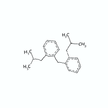 CC(C)Cc1ccccc1Cc1ccccc1CC(C)C